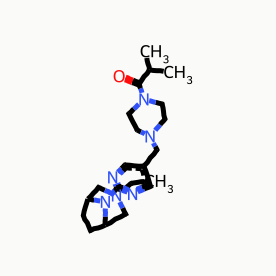 CCN1CC2CCC(C1)N2c1ncc(CN2CCN(C(=O)C(C)C)CC2)cn1